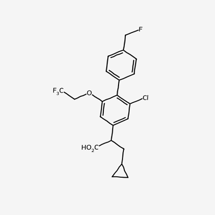 O=C(O)C(CC1CC1)c1cc(Cl)c(-c2ccc(CF)cc2)c(OCC(F)(F)F)c1